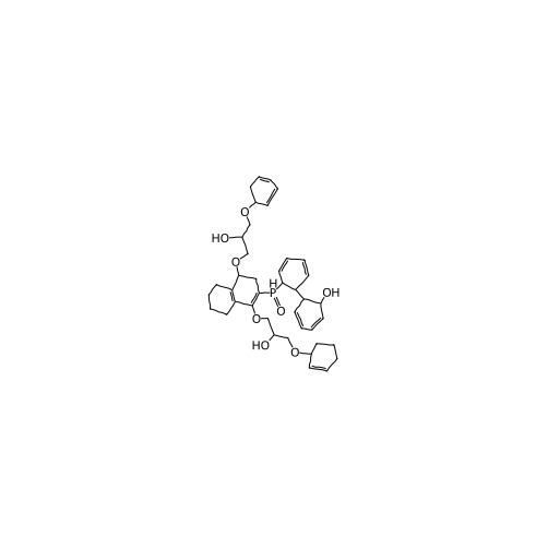 O=[PH](C1=C(OCC(O)COC2C=CCCC2)C2=C(CCCC2)C(OCC(O)COC2C=CC=CC2)C1)C1C=CC=CC1C1C=CC=CC1O